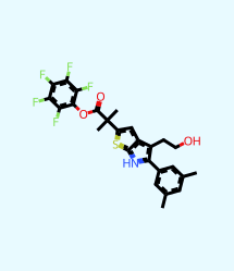 Cc1cc(C)cc(-c2[nH]c3sc(C(C)(C)C(=O)Oc4c(F)c(F)c(F)c(F)c4F)cc3c2CCO)c1